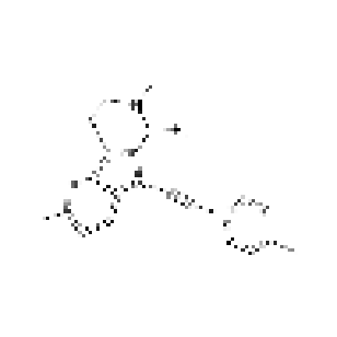 CCC1c2c(c3cc(C)ccc3n2C#Cc2ccc(C)cc2)CCN1C